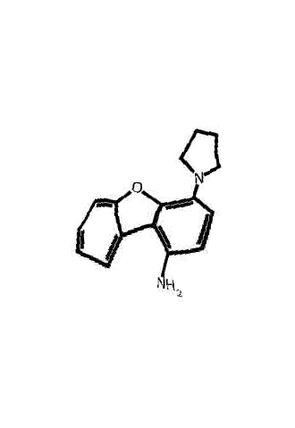 Nc1ccc(N2CCCC2)c2oc3ccccc3c12